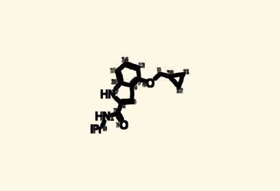 CC(C)NC(=O)c1cc2c(OCC3CC3)cccc2[nH]1